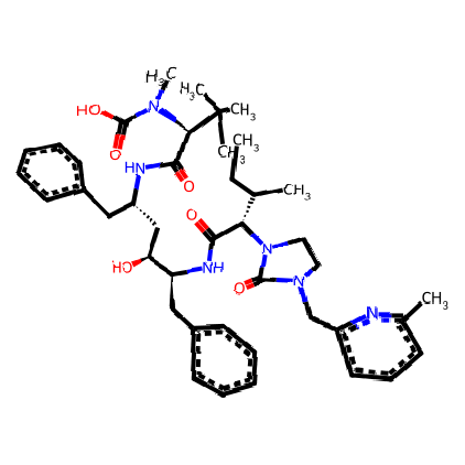 CCC(C)[C@@H](C(=O)N[C@@H](Cc1ccccc1)[C@@H](O)C[C@H](Cc1ccccc1)NC(=O)[C@@H](N(C)C(=O)O)C(C)(C)C)N1CCN(Cc2cccc(C)n2)C1=O